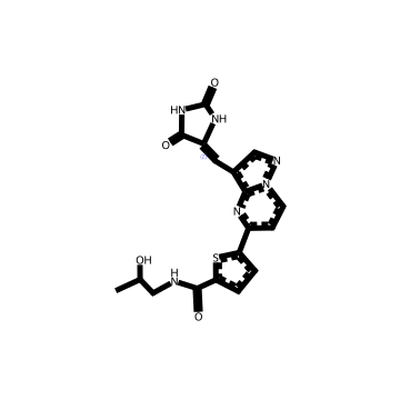 CC(O)CNC(=O)c1ccc(-c2ccn3ncc(/C=C4\NC(=O)NC4=O)c3n2)s1